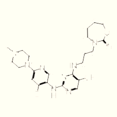 CCc1cc(N2CCN(C)CC2)ncc1Nc1ncc(C(F)(F)F)c(NCCCN2CCCCOC2=O)n1